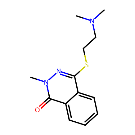 CN(C)CCSc1nn(C)c(=O)c2ccccc12